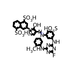 Cc1ccccc1Nc1nc(F)nc(Nc2ccc(S(=O)(=O)O)c(/N=N/c3cnn(-c4cc(S(=O)(=O)O)c5cccc(S(=O)(=O)O)c5c4)c3O)c2)n1